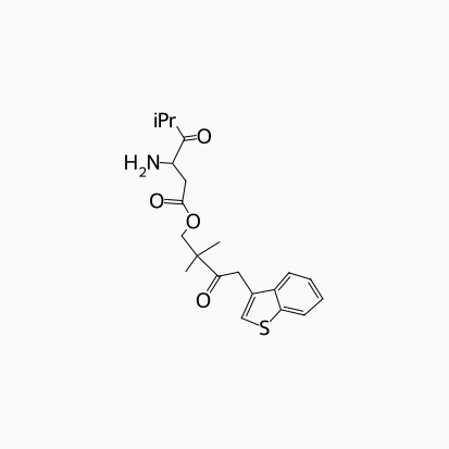 CC(C)C(=O)C(N)CC(=O)OCC(C)(C)C(=O)Cc1csc2ccccc12